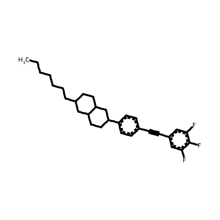 CCCCCCCC1CCC2CC(c3ccc(C#Cc4cc(F)c(F)c(F)c4)cc3)CCC2C1